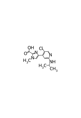 CC(C)Nc1cc(-c2cn(C)c(C(=O)O)n2)c(Cl)cn1